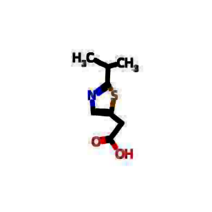 CC(C)c1ncc(CC(=O)O)s1